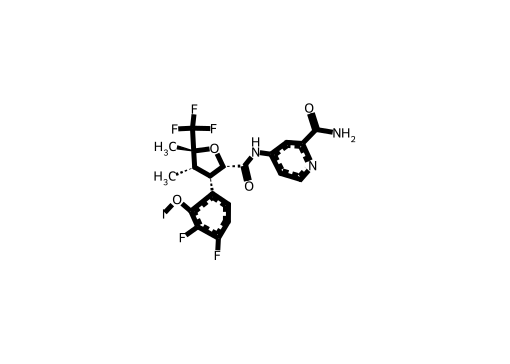 C[C@H]1[C@@H](c2ccc(F)c(F)c2OI)[C@@H](C(=O)Nc2ccnc(C(N)=O)c2)O[C@@]1(C)C(F)(F)F